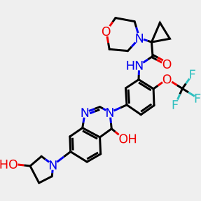 O=C(Nc1cc(N2C=Nc3cc(N4CCC(O)C4)ccc3C2O)ccc1OC(F)(F)F)C1(N2CCOCC2)CC1